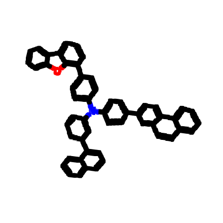 C1=CC(N(c2ccc(-c3ccc4c(ccc5ccccc54)c3)cc2)c2ccc(-c3cccc4c3oc3ccccc34)cc2)=CC(c2cccc3ccccc23)C1